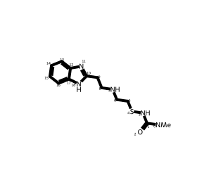 CNC(=O)NSCCNCCc1nc2ccccc2[nH]1